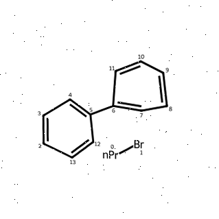 CCCBr.c1ccc(-c2ccccc2)cc1